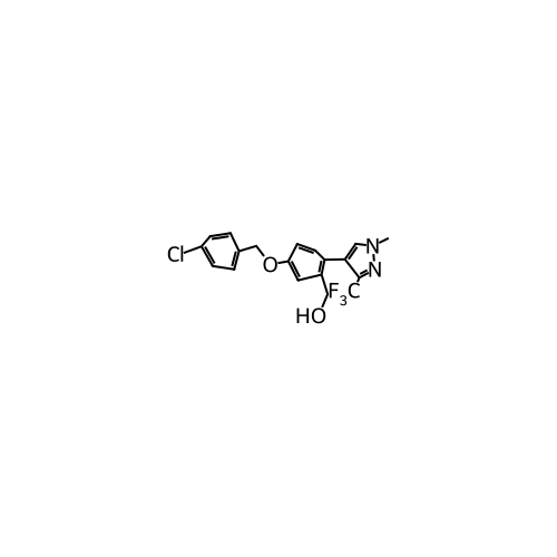 Cn1cc(-c2ccc(OCc3ccc(Cl)cc3)cc2CO)c(C(F)(F)F)n1